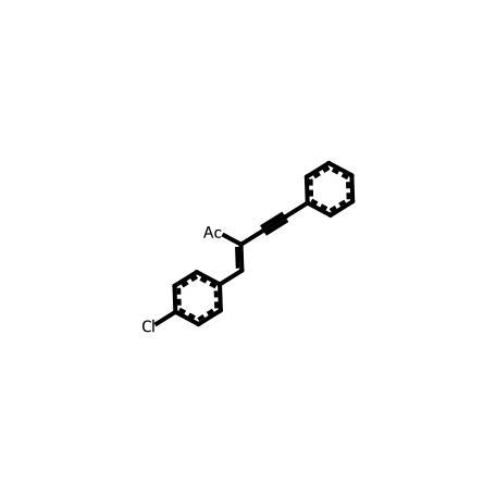 CC(=O)C(C#Cc1ccccc1)=Cc1ccc(Cl)cc1